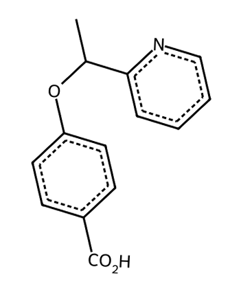 CC(Oc1ccc(C(=O)O)cc1)c1ccccn1